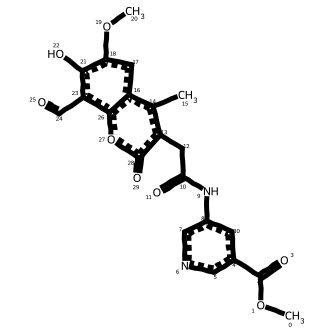 COC(=O)c1cncc(NC(=O)Cc2c(C)c3cc(OC)c(O)c(C=O)c3oc2=O)c1